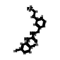 O=C(NCc1ccnc(OCC(F)(F)F)c1)Nc1cc(F)ccc1F